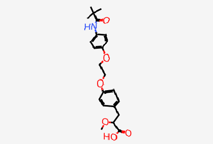 COC(Cc1ccc(OCCOc2ccc(NC(=O)C(C)(C)C)cc2)cc1)C(=O)O